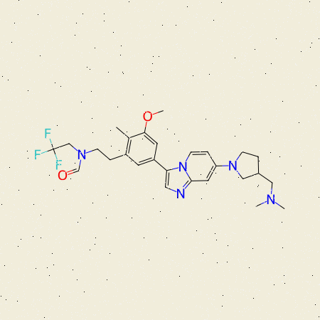 COc1cc(-c2cnc3cc(N4CCC(CN(C)C)C4)ccn23)cc(CCN(C=O)CC(F)(F)F)c1C